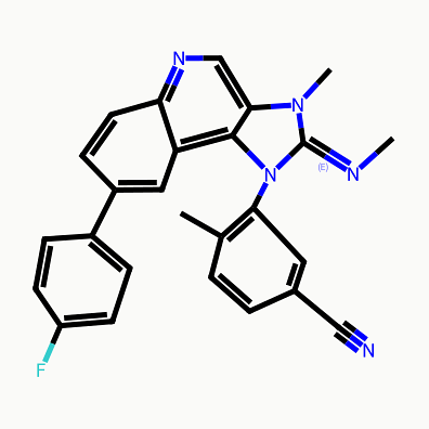 C/N=c1\n(C)c2cnc3ccc(-c4ccc(F)cc4)cc3c2n1-c1cc(C#N)ccc1C